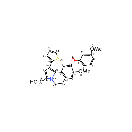 COc1cccc(Oc2cc3c(cc2OC)CCn2c(C(=O)O)cc(-c4cccs4)c2-3)c1